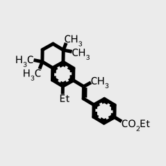 CCOC(=O)c1ccc(/C=C(\C)c2cc3c(cc2CC)C(C)(C)CCC3(C)C)cc1